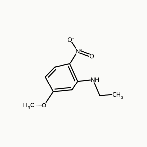 CCNc1cc(OC)ccc1[N+](=O)[O-]